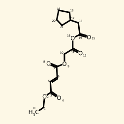 CCOC(=O)/C=C/C(=O)OCC(=O)OC(=O)CC1CCCC1